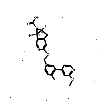 COc1cc(-c2cc(COc3cc4c(cn3)[C@H]3[C@@H](C4)[C@@H]3C(=O)O)ccc2C)ccn1